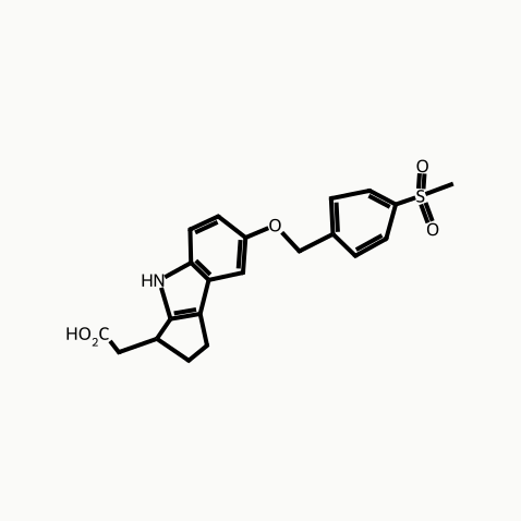 CS(=O)(=O)c1ccc(COc2ccc3[nH]c4c(c3c2)CCC4CC(=O)O)cc1